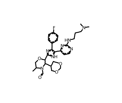 CC1COC(c2nc(-c3ccc(F)cc3)c(-c3ccnc(NCCCN(C)C)n3)[nH]2)C(C2COCOC2)N1C=O